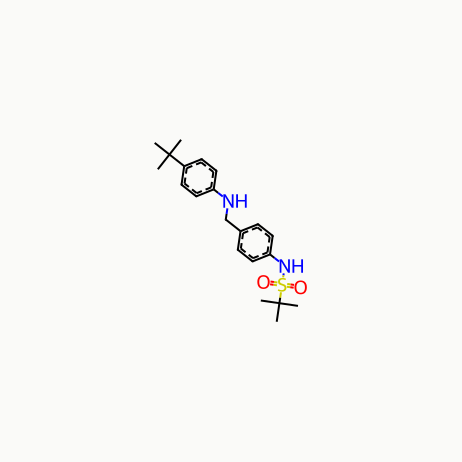 CC(C)(C)c1ccc(NCc2ccc(NS(=O)(=O)C(C)(C)C)cc2)cc1